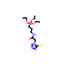 CCO[Si](CCCNC(=O)Cn1nnnc1S)(OCC)OCC